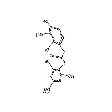 O=C(Cc1ccc(O)c(O)c1O)Cc1c(O)cc(O)cc1O